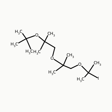 CC(C)(C)OC(C)(C)COC(C)(C)COC(C)(C)I